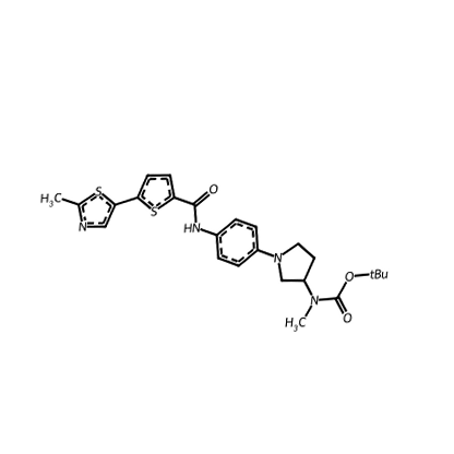 Cc1ncc(-c2ccc(C(=O)Nc3ccc(N4CCC(N(C)C(=O)OC(C)(C)C)C4)cc3)s2)s1